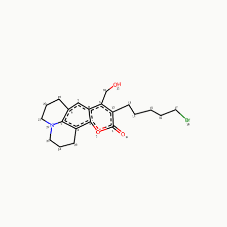 O=c1oc2c3c4c(cc2c(CO)c1CCCCCBr)CCCN4CCC3